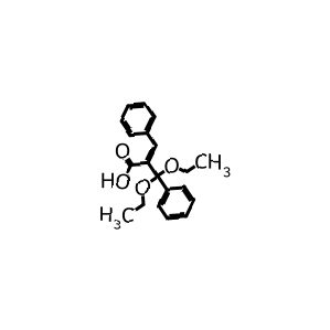 CCOC(OCC)(C(=Cc1ccccc1)C(=O)O)c1ccccc1